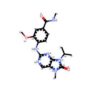 CNC(=O)c1ccc(Nc2ncc3c(n2)n(C(C)C)c(=O)n3C)c(OC)c1